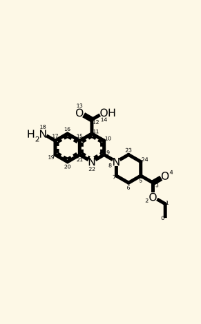 CCOC(=O)C1CCN(c2cc(C(=O)O)c3cc(N)ccc3n2)CC1